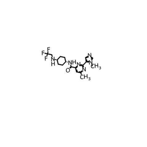 Cc1cc(C(=O)N[C@H]2CC[C@H](NCC(F)(F)F)CC2)nc(-c2cncn2C)n1